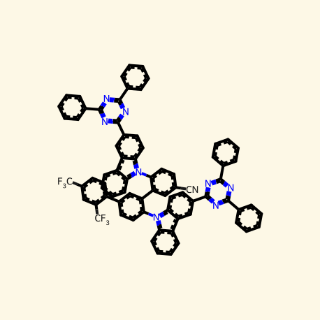 N#Cc1ccc(-n2c3ccccc3c3cc(-c4nc(-c5ccccc5)nc(-c5ccccc5)n4)ccc32)c(-c2cc(-c3ccc(C(F)(F)F)cc3C(F)(F)F)ccc2-n2c3ccccc3c3cc(-c4nc(-c5ccccc5)nc(-c5ccccc5)n4)ccc32)c1